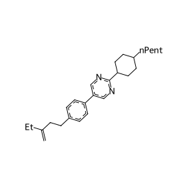 C=C(CC)CCc1ccc(-c2cnc(C3CCC(CCCCC)CC3)nc2)cc1